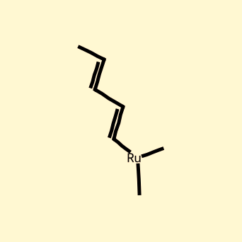 CC=CC=[CH][Ru]([CH3])[CH3]